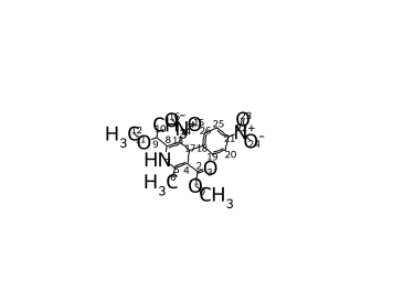 COC(=O)C1=C(C)NC(C(C)OC)=C([N+](=O)[O-])C1c1ccc([N+](=O)[O-])cc1